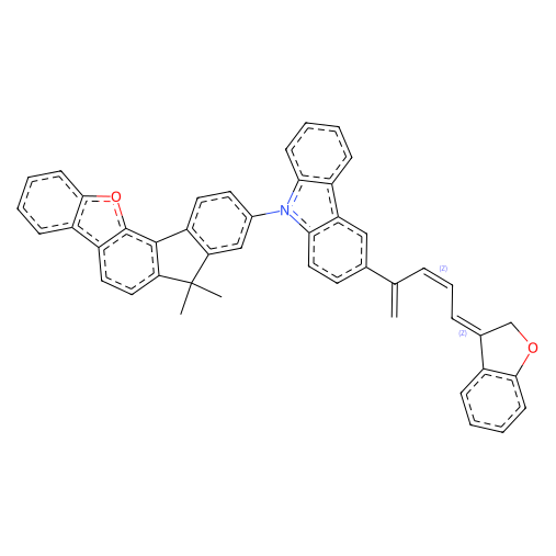 C=C(/C=C\C=C1/COc2ccccc21)c1ccc2c(c1)c1ccccc1n2-c1ccc2c(c1)C(C)(C)c1ccc3c(oc4ccccc43)c1-2